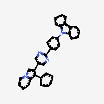 c1ccc(-c2c(-c3cnc(-c4ccc(-n5c6ccccc6c6ccccc65)cc4)nc3)cn3ccccc23)cc1